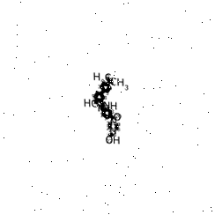 CN(C)c1ccc(-c2ccc(O)c(-c3nc4ccc(C(=O)N5CCN(CCO)CC5)cc4[nH]3)c2)cc1